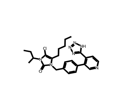 CCCCCc1c(Cl)n(C(C)CC)c(=O)n1Cc1ccc(-c2cnccc2-c2nnn[nH]2)cc1